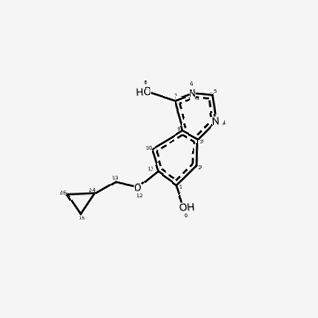 Oc1cc2ncnc(O)c2cc1OCC1CC1